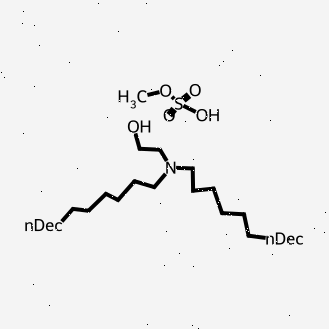 CCCCCCCCCCCCCCCCN(CCO)CCCCCCCCCCCCCCCC.COS(=O)(=O)O